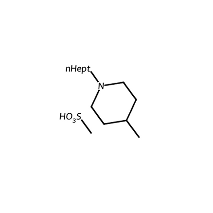 CCCCCCCN1CCC(C)CC1.CS(=O)(=O)O